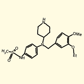 CCOc1cc(CN(c2ccc(NS(C)(=O)=O)cc2)C2CCNCC2)ccc1OC